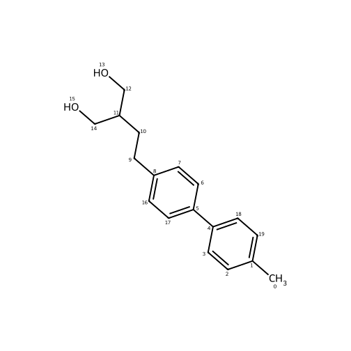 Cc1ccc(-c2ccc(CCC(CO)CO)cc2)cc1